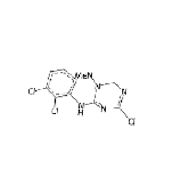 CNN1CN=C(Cl)N=C1Nc1cccc(Cl)c1Cl